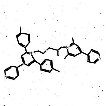 Cc1ccc(-c2cc(-c3ccncc3)cc(-c3ccc(C)cc3)[n+]2CCCC(C)C[n+]2c(C)cc(-c3ccncc3)cc2C)cc1